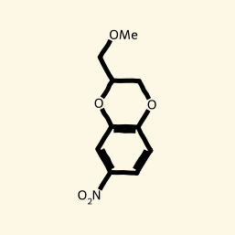 COCC1COc2ccc([N+](=O)[O-])cc2O1